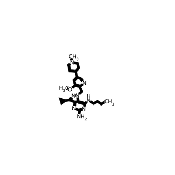 CCCCNc1nc(N)nc2c(C3CC3)nn(Cc3ncc(C4CCN(C)CC4)cc3OC)c12